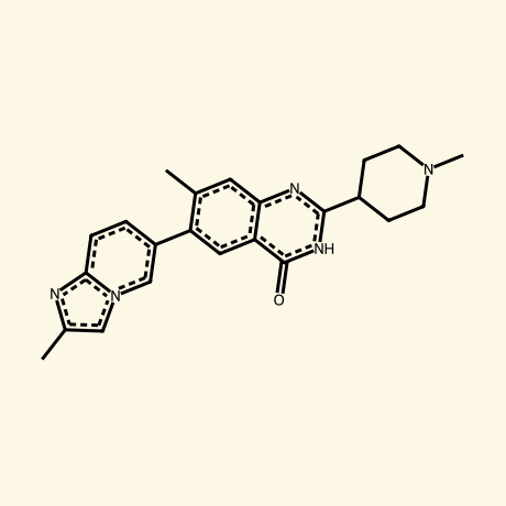 Cc1cn2cc(-c3cc4c(=O)[nH]c(C5CCN(C)CC5)nc4cc3C)ccc2n1